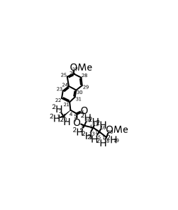 [2H]C([2H])([2H])[C@H](C(=O)OC([2H])([2H])C([2H])([2H])C([2H])([2H])C([2H])([2H])OC)c1ccc2cc(OC)ccc2c1